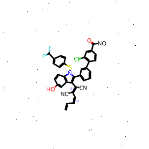 C=C/C=C\C(C#N)=C(/C#N)c1c(-c2cccc(-c3ccc(C(=O)N=O)cc3Cl)c2)n(Sc2ccc(C(F)F)cc2)c2ccc(O)cc12